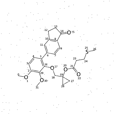 COc1ccc(-c2ccc3c(c2)CCC3=O)c(OCC2(OC(=O)CCSC)CC2)c1OC